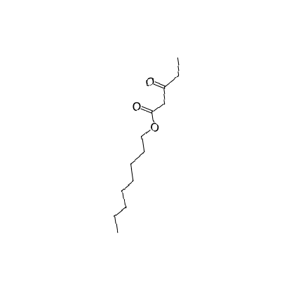 CCCCCCCCOC(=O)CC(=O)CC